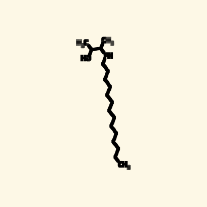 CCCCCCCCCCCCCCPC(C)C(C)O